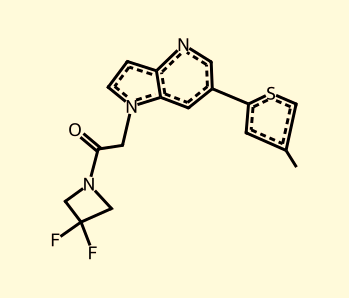 Cc1csc(-c2cnc3ccn(CC(=O)N4CC(F)(F)C4)c3c2)c1